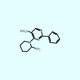 CCOC(=O)c1cnc(-c2ccccc2)nc1N1CCCCC1C